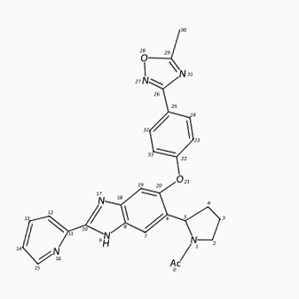 CC(=O)N1CCCC1c1cc2[nH]c(-c3ccccn3)nc2cc1Oc1ccc(-c2noc(C)n2)cc1